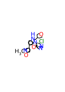 Cn1cc(-c2ccc3[nH]c(C4CCOCC4)nc3c2Oc2cnnc(Cl)c2)ccc1=O